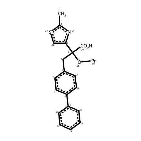 Cc1nc(C(Cc2ccc(-c3ccccc3)cc2)(OC(C)C)C(=O)O)cs1